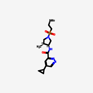 CNCCS(=O)(=O)N1C[C@@H](C)[C@@H](NC(=O)c2cc(C3CC3)cnn2)C1